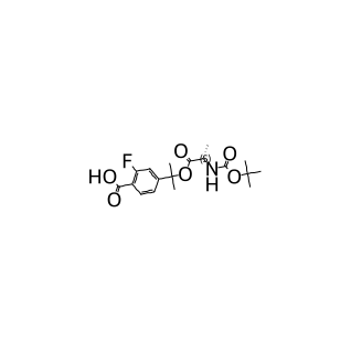 C[C@H](NC(=O)OC(C)(C)C)C(=O)OC(C)(C)c1ccc(C(=O)O)c(F)c1